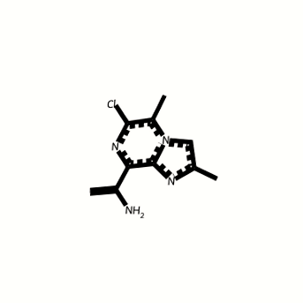 C=C(N)c1nc(Cl)c(C)n2cc(C)nc12